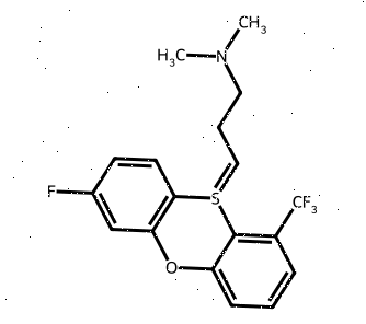 CN(C)CCC=S1c2ccc(F)cc2Oc2cccc(C(F)(F)F)c21